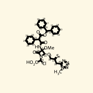 CO[C@]1(NC(=O)C(C(=O)OC(c2ccccc2)c2ccccc2)c2ccccc2)C(=O)N(C(Cl)C(=O)O)[C@H]1OCC(=S)Cc1nnnn1C